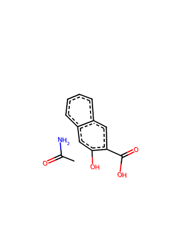 CC(N)=O.O=C(O)c1cc2ccccc2cc1O